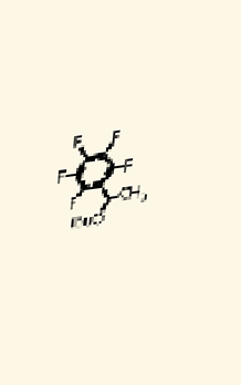 CC(C)COC(C)c1c(F)c(F)c(F)c(F)c1F